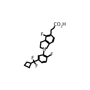 O=C(O)CCc1ccc2c(c1F)CCN(c1cc(C(F)(F)C3CCC3)ccc1F)C2